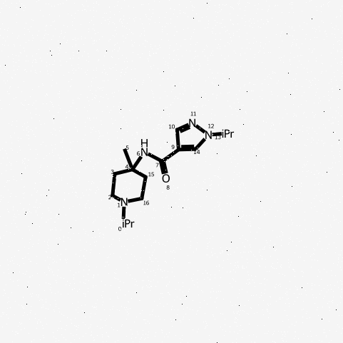 CC(C)N1CCC(C)(NC(=O)c2cnn(C(C)C)c2)CC1